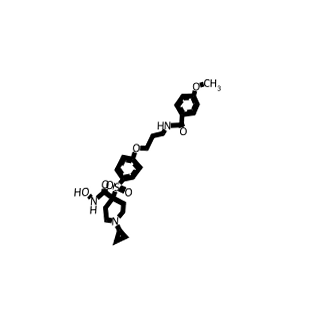 COc1ccc(C(=O)NCCCOc2ccc(S(=O)(=O)C3(C(=O)NO)CCN(C4CC4)CC3)cc2)cc1